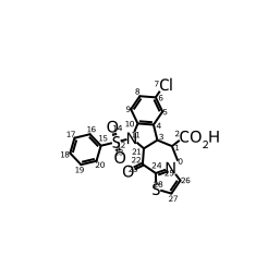 CC(C(=O)O)C1c2cc(Cl)ccc2N(S(=O)(=O)c2ccccc2)C1C(=O)c1nccs1